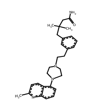 Cc1ccc2c(N3CCN(CCc4cccc(CC(C)(C)CC(N)=O)c4)CC3)cccc2n1